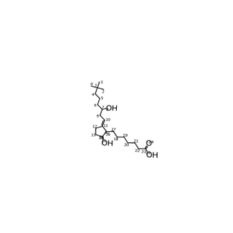 CC(C)(C)CCCC(O)CC=C1CC[C@H](O)[C@@H]1CCCCCCC(=O)O